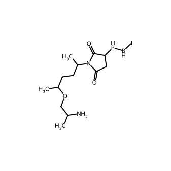 CC(N)COC(C)CCC(C)N1C(=O)CC(PBI)C1=O